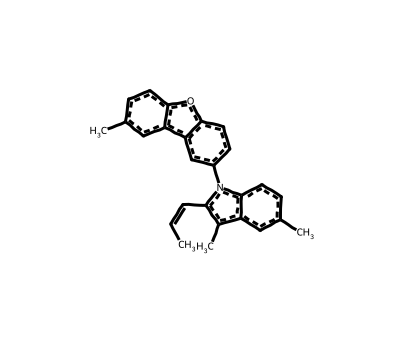 C/C=C\c1c(C)c2cc(C)ccc2n1-c1ccc2oc3ccc(C)cc3c2c1